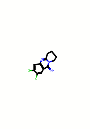 N=c1c2cc(Cl)c(Cl)cc2nc2n1CCCC2